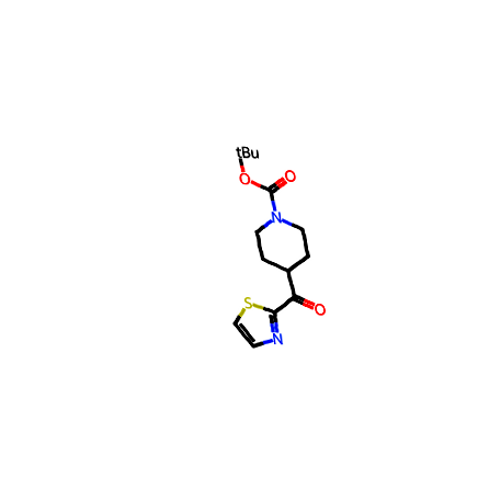 CC(C)(C)OC(=O)N1CCC(C(=O)c2nccs2)CC1